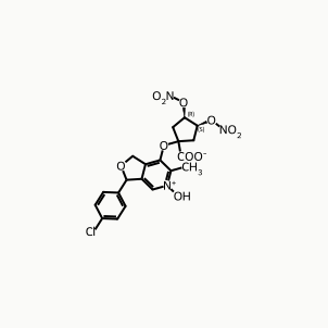 Cc1c(OC2(C(=O)[O-])C[C@H](O[N+](=O)[O-])[C@H](O[N+](=O)[O-])C2)c2c(c[n+]1O)C(c1ccc(Cl)cc1)OC2